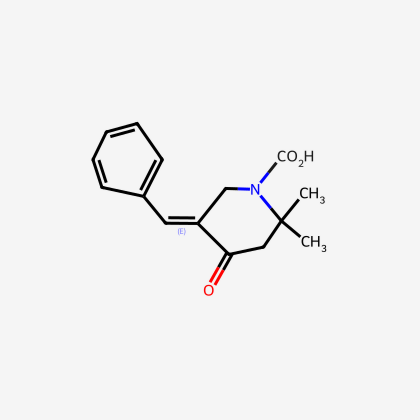 CC1(C)CC(=O)/C(=C/c2ccccc2)CN1C(=O)O